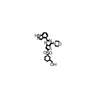 O=S(=O)(c1cc2nc(-c3cccc4[nH]ncc34)nc(N3CCOCC3)c2s1)N1CCCC(CO)C1